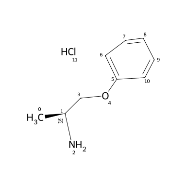 C[C@H](N)COc1ccccc1.Cl